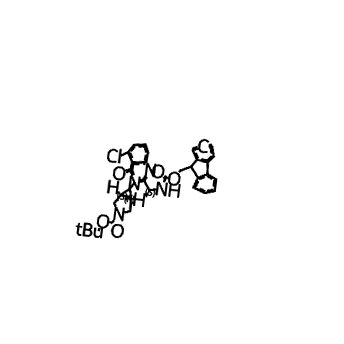 C[C@H](NC(=O)OCC1c2ccccc2-c2ccccc21)c1nc2cccc(Cl)c2c(=O)n1C1[C@H]2CN(C(=O)OC(C)(C)C)C[C@@H]12